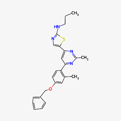 CCCNc1ncc(-c2cc(-c3ccc(OCc4ccccc4)cc3C)nc(C)n2)s1